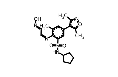 Cc1cc(-c2c(C)noc2C)cc(S(=O)(=O)NC2CCCC2)c1/N=C\C=N\O